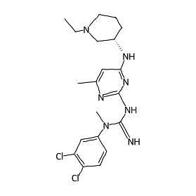 CCN1CCC[C@H](Nc2cc(C)nc(NC(=N)N(C)c3ccc(Cl)c(Cl)c3)n2)C1